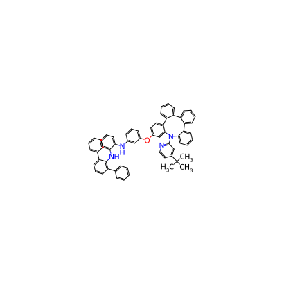 CC(C)(C)c1ccnc(-n2c3ccccc3c3ccccc3c3ccccc3c3ccc(Oc4cccc(Nc5ccccc5Nc5c(-c6ccccc6)cccc5-c5ccccc5)c4)cc32)c1